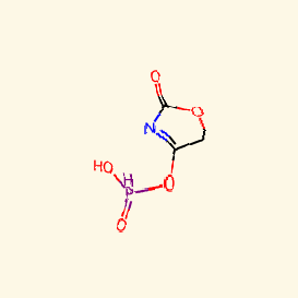 O=C1N=C(O[PH](=O)O)CO1